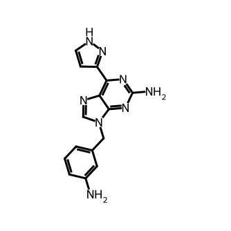 Nc1cccc(Cn2cnc3c(-c4cc[nH]n4)nc(N)nc32)c1